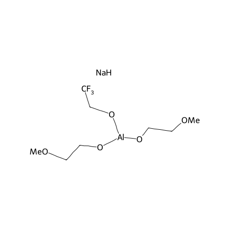 COCC[O][Al]([O]CCOC)[O]CC(F)(F)F.[NaH]